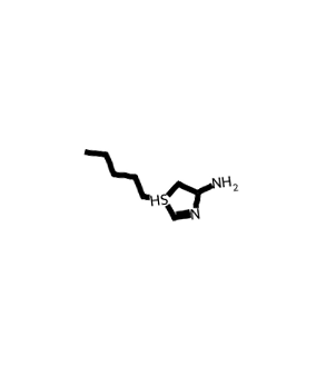 CCCCC[SH]1C=N[C](N)C1